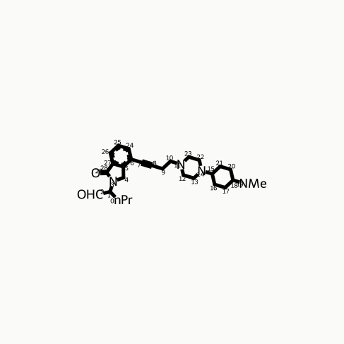 CCCC(C=O)N1Cc2c(C#CCCN3CCN(C4CCC(NC)CC4)CC3)cccc2C1=O